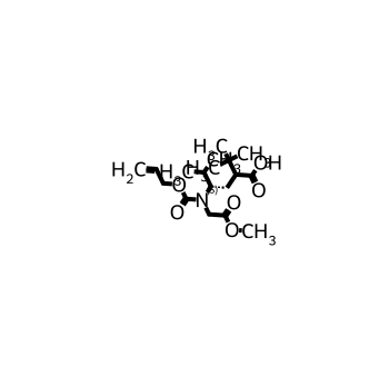 C=CCOC(=O)N(CC(=O)OC)[C@@H](CC(C(=O)O)C(C)(C)C)C(C)C